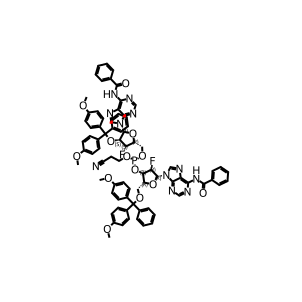 COc1ccc(C(OC[C@H]2O[C@@H](n3cnc4c(NC(=O)c5ccccc5)ncnc43)[C@H](F)[C@@H]2OP(OCCC#N)OC[C@H]2O[C@@H](n3cnc4c(NC(=O)c5ccccc5)ncnc43)[C@H](OC(c3ccccc3)(c3ccc(OC)cc3)c3ccc(OC)cc3)[C@H]2F)(c2ccccc2)c2ccc(OC)cc2)cc1